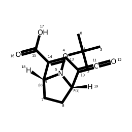 CC(C)(C)ON1[C@@H]2CC[C@H]1C(=C=O)C=C2C(=O)O